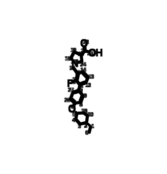 CC[C@H]1CC[C@@H](Oc2ccc(-c3cccc(CN4CCC(C(=O)O)C4)c3F)cc2)CC1